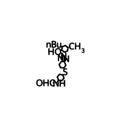 CCCCc1cc(C)cc(-n2nc3ccc(Sc4ccc(NC=O)cc4)cc3n2)c1O